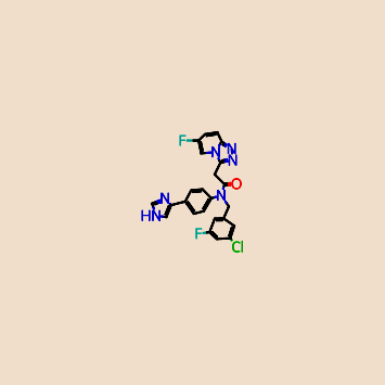 O=C(Cc1nnc2ccc(F)cn12)N(Cc1cc(F)cc(Cl)c1)c1ccc(-c2c[nH]cn2)cc1